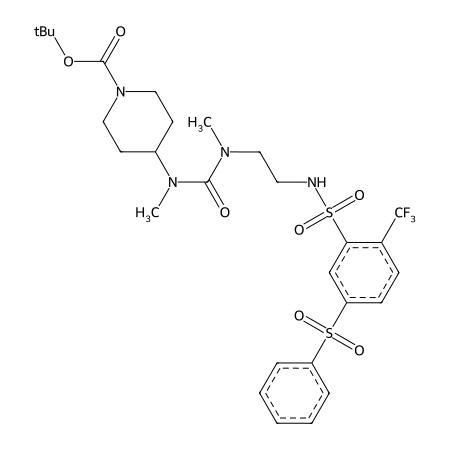 CN(CCNS(=O)(=O)c1cc(S(=O)(=O)c2ccccc2)ccc1C(F)(F)F)C(=O)N(C)C1CCN(C(=O)OC(C)(C)C)CC1